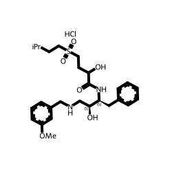 COc1cccc(CNC[C@H](O)[C@H](Cc2ccccc2)NC(=O)C(O)CCS(=O)(=O)CCC(C)C)c1.Cl